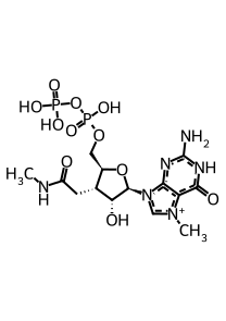 CNC(=O)C[C@H]1[C@@H](O)[C@H](n2c[n+](C)c3c(=O)[nH]c(N)nc32)O[C@@H]1COP(=O)(O)OP(=O)(O)O